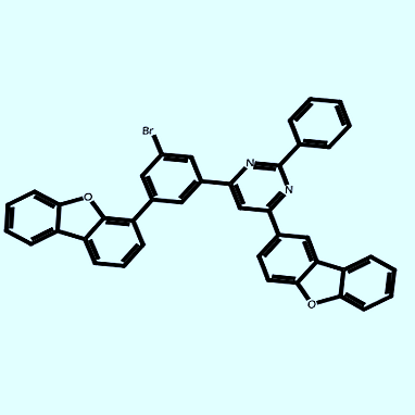 Brc1cc(-c2cc(-c3ccc4oc5ccccc5c4c3)nc(-c3ccccc3)n2)cc(-c2cccc3c2oc2ccccc23)c1